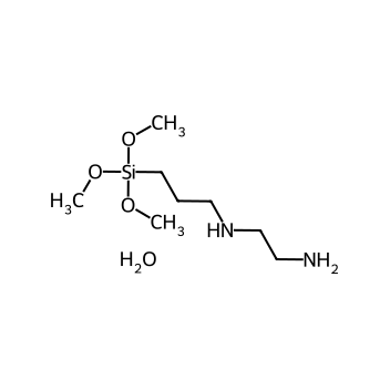 CO[Si](CCCNCCN)(OC)OC.O